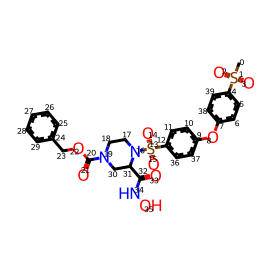 CS(=O)(=O)c1ccc(Oc2ccc(S(=O)(=O)N3CCN(C(=O)OCc4ccccc4)CC3C(=O)NO)cc2)cc1